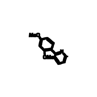 COc1ccc(-c2ccc[c]n2)c(OC)c1